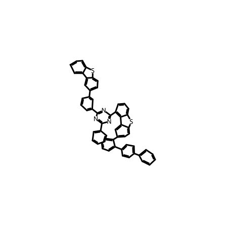 c1ccc(-c2ccc(-c3ccccc3-c3ccc4sc5cccc(-c6nc(-c7ccccc7)nc(-c7cccc(-c8ccc9sc%10ccccc%10c9c8)c7)n6)c5c4c3)cc2)cc1